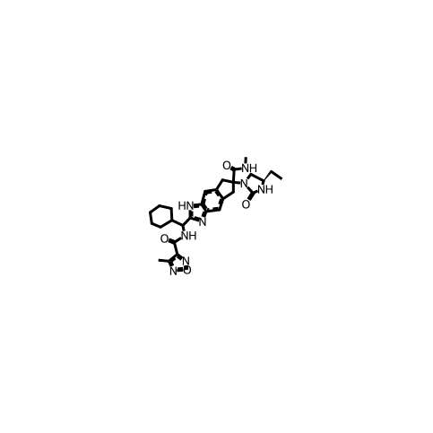 CC[C@@H]1CN(C2(C(=O)NC)Cc3cc4nc(C(NC(=O)c5nonc5C)C5CCCCC5)[nH]c4cc3C2)C(=O)N1